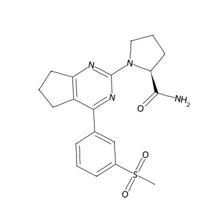 CS(=O)(=O)c1cccc(-c2nc(N3CCC[C@H]3C(N)=O)nc3c2CCC3)c1